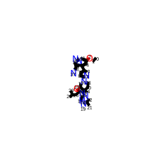 CCOc1cc(-c2ccc(N3CCC(CN4CCN(C)C(C)C4)(NC(=O)CC(C)C)CC3)nc2)c2c(C#N)cnn2c1